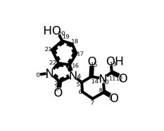 Cn1c(=O)n(C2CCC(=O)N(C(=O)O)C2=O)c2ccc(O)cc21